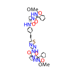 COC(=O)N[C@@H](C(=O)N1CCC[C@H]1C(=O)Nc1cn2cc(C#Cc3ccc(NC(=O)[C@@H]4CCCN4C(=O)[C@H](NC(=O)OC)c4ccccc4)cc3)sc2n1)C1=CCCC=C1